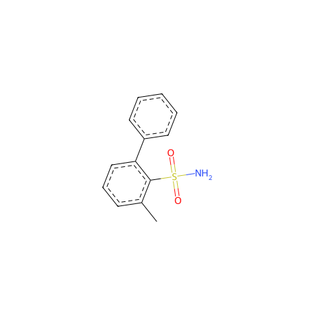 Cc1cccc(-c2ccccc2)c1S(N)(=O)=O